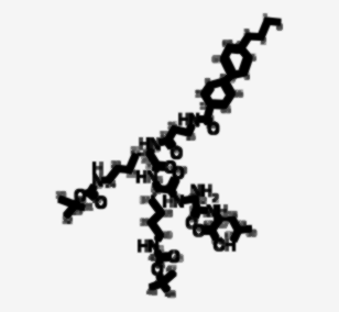 CCCCc1ccc(-c2ccc(C(=O)NCCC(=O)N[C@@H](CCCCNC(=O)OC(C)(C)C)C(=O)N[C@@H](CCCCNC(=O)OC(C)(C)C)C(=O)N[C@@H](N)C(=O)N[C@@H](CC(C)C)C(=O)O)cc2)cc1